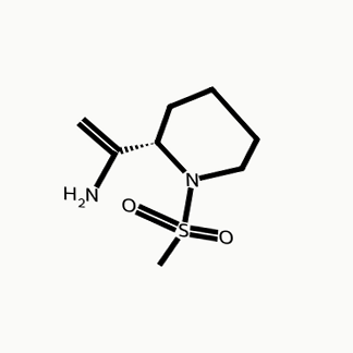 C=C(N)[C@@H]1CCCCN1S(C)(=O)=O